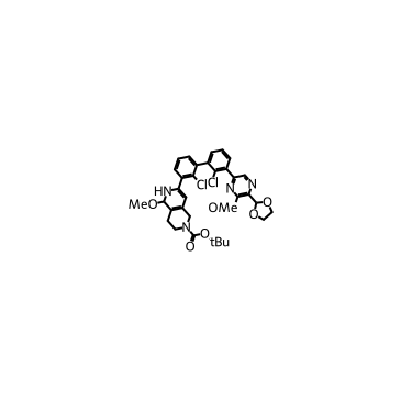 COc1nc(-c2cccc(-c3cccc(C4=CC5=C(CCN(C(=O)OC(C)(C)C)C5)C(OC)N4)c3Cl)c2Cl)cnc1C1OCCO1